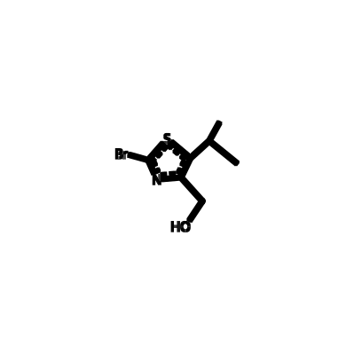 CC(C)c1sc(Br)nc1CO